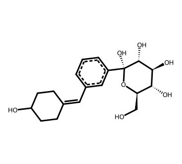 OC[C@H]1O[C@@](O)(c2cccc(C=C3CCC(O)CC3)c2)[C@H](O)[C@@H](O)[C@@H]1O